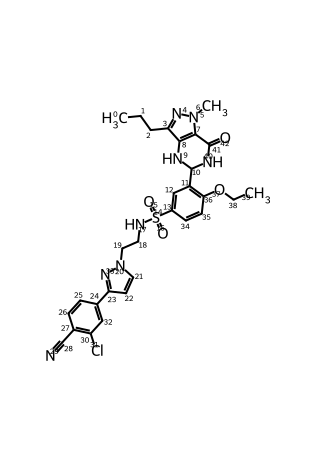 CCCc1nn(C)c2c1NC(c1cc(S(=O)(=O)NCCn3ccc(-c4ccc(C#N)c(Cl)c4)n3)ccc1OCC)NC2=O